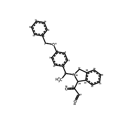 CC(c1ccc(OCc2ccccc2)cc1)N1Cc2ccccc2C1C(=O)C=O